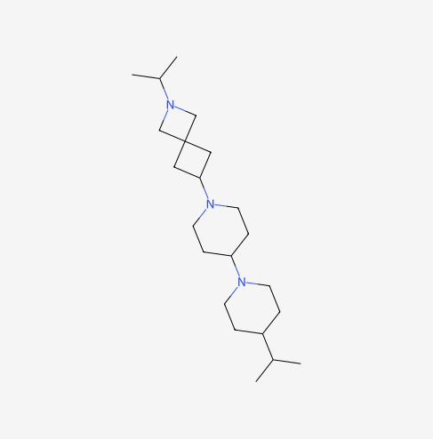 CC(C)C1CCN(C2CCN(C3CC4(C3)CN(C(C)C)C4)CC2)CC1